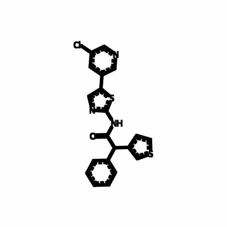 O=C(Nc1ncc(-c2cncc(Cl)c2)s1)C(c1ccccc1)c1ccsc1